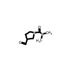 CN(C)C(=O)N1CCC([C]=O)C1